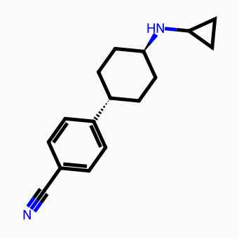 N#Cc1ccc([C@H]2CC[C@H](NC3CC3)CC2)cc1